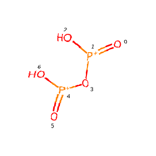 O=[P+](O)O[P+](=O)O